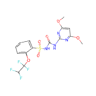 COc1cc(OC)nc(NC(=O)NS(=O)(=O)c2ccccc2OC(F)(F)C(F)F)n1